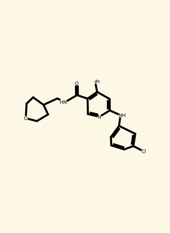 CC(C)c1cc(Nc2cccc(Cl)c2)ncc1C(=O)NCC1CCOCC1